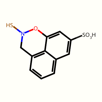 O=S(=O)(O)c1cc2c3c(cccc3c1)CN(S)O2